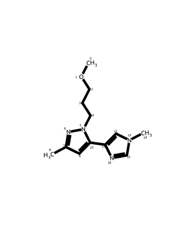 COCCCn1nc(C)cc1-c1cn(C)cn1